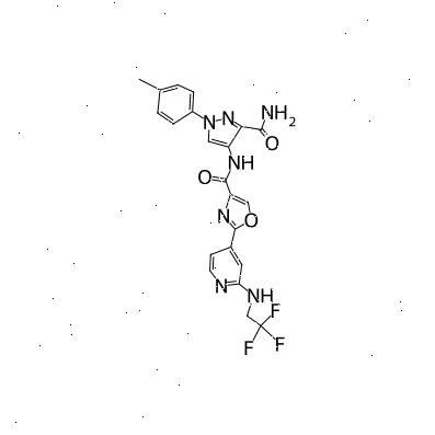 Cc1ccc(-n2cc(NC(=O)c3coc(-c4ccnc(NCC(F)(F)F)c4)n3)c(C(N)=O)n2)cc1